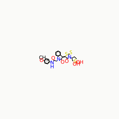 COc1ccc(NC(=O)CN2C(=O)C(=C3SC(=S)N(C4CCS(O)(O)C4)C3=O)c3ccccc32)cc1